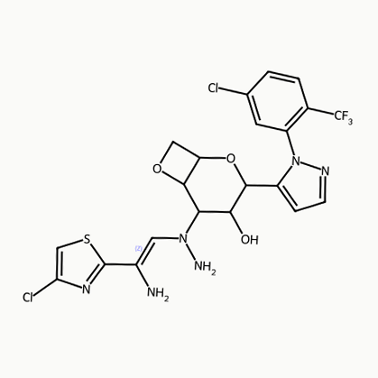 N/C(=C\N(N)C1C(O)C(c2ccnn2-c2cc(Cl)ccc2C(F)(F)F)OC2COC21)c1nc(Cl)cs1